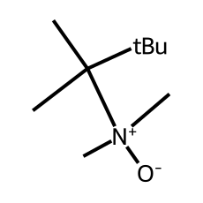 CC(C)(C)C(C)(C)[N+](C)(C)[O-]